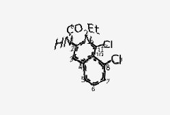 CCOC(=O)Nc1cc2cccc(Cl)c2c(Cl)n1